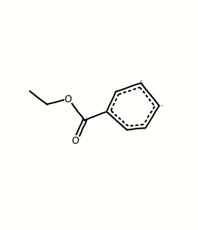 CCOC(=O)c1c[c][c]cc1